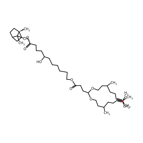 CC(C)=CCCC(C)CCOC(CCC(=O)OCCCCCCC(O)CCCC(=O)O[C@@H]1CC2CC[C@@]1(C)C2(C)C)OCCC(C)CCC=C(C)C